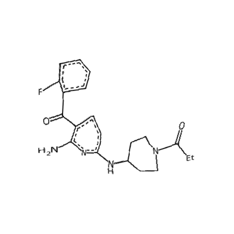 CCC(=O)N1CCC(Nc2ccc(C(=O)c3ccccc3F)c(N)n2)CC1